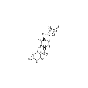 CC1CCC(C(C)N2CCN(C[C@]34C[C@@](C)(C3)C4)CC2)CC1